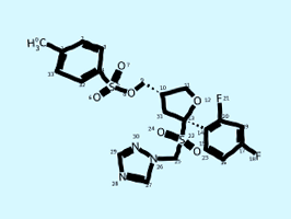 Cc1ccc(S(=O)(=O)OC[C@@H]2CO[C@@](c3ccc(F)cc3F)(S(=O)(=O)Cn3cncn3)C2)cc1